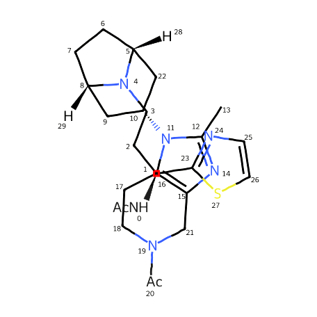 CC(=O)N[C@@H](CCN1[C@@H]2CC[C@H]1C[C@@H](n1c(C)nc3c1CCN(C(C)=O)C3)C2)c1nccs1